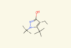 CCc1c(O)nn(C(C)(C)C)c1C(C)(C)C